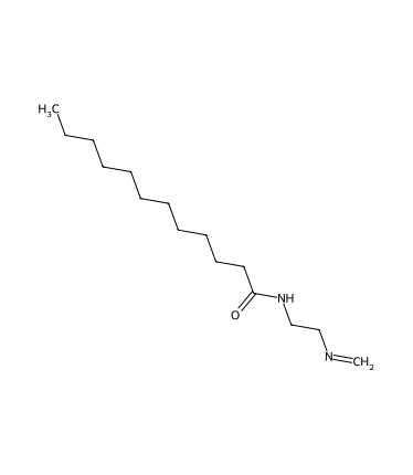 C=NCCNC(=O)CCCCCCCCCCC